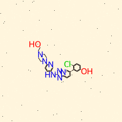 OCCN1CCN(c2ccc(Nc3nc4ccc(-c5cc(O)ccc5Cl)cn4n3)cn2)CC1